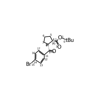 CC(C)(C)OC(=O)[C@@H]1CCC[C@H]1C(=O)c1ccc(Br)cc1